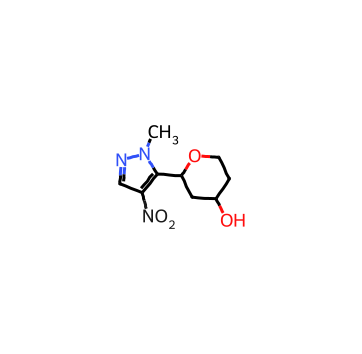 Cn1ncc([N+](=O)[O-])c1C1CC(O)CCO1